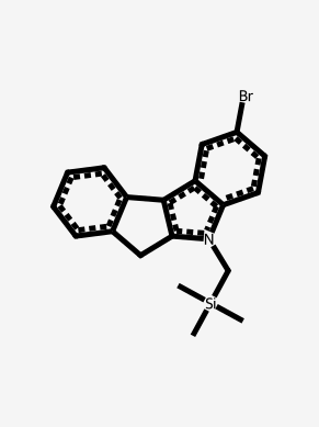 C[Si](C)(C)Cn1c2c(c3cc(Br)ccc31)-c1ccccc1C2